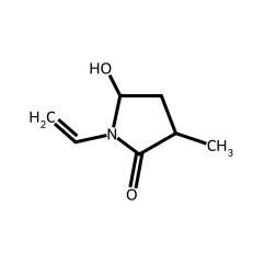 C=CN1C(=O)C(C)CC1O